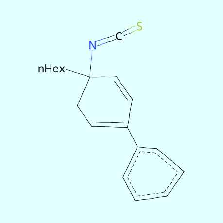 CCCCCCC1(N=C=S)C=CC(c2ccccc2)=CC1